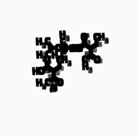 CC(C)O.CC(C)O.CCC(C(C)=O)C(=O)O.CCC(C(C)=O)C(=O)O.[Al]